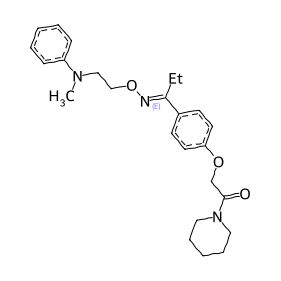 CC/C(=N\OCCN(C)c1ccccc1)c1ccc(OCC(=O)N2CCCCC2)cc1